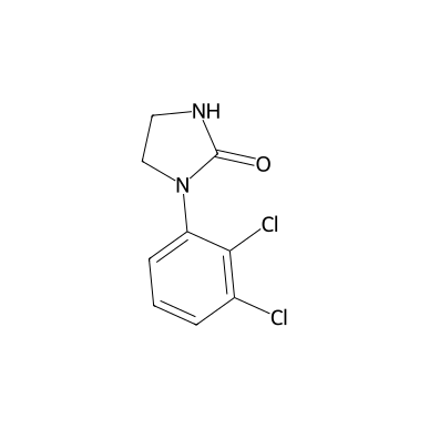 O=C1NCCN1c1cccc(Cl)c1Cl